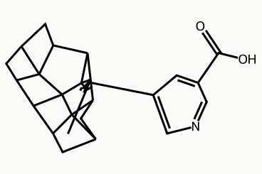 CC1=CC(c2cncc(C(=O)O)c2)=CC12C1C3CC4CC5C6C7CC8CC1C87C62C435